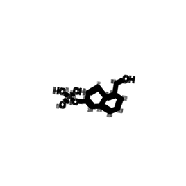 O=P(O)(O)Oc1ccc2c(CO)cccc2c1